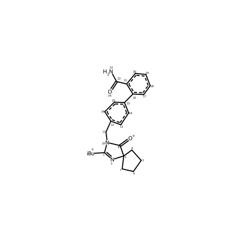 CCC(C)C1=NC2(CCCC2)C(=O)N1Cc1ccc(-c2ccccc2C(N)=O)cc1